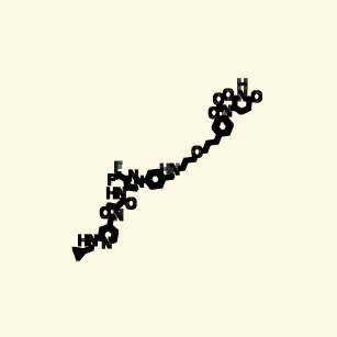 O=C1CCC(n2c(=O)oc3cc(CCCOCCCNCc4ccc(-n5cc(NC(=O)c6coc(-c7ccnc(NCC8CC8)c7)n6)c(C(F)F)n5)cc4)ccc32)C(=O)N1